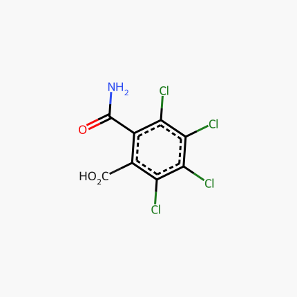 NC(=O)c1c(Cl)c(Cl)c(Cl)c(Cl)c1C(=O)O